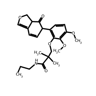 CCCNC(=O)C(C)(C)COc1c(C2C=CC3=COCC3C2=O)ccc(OC)c1OC